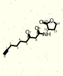 C#CCCCCC(=O)CC(=O)N[C@H]1CCOC1=O